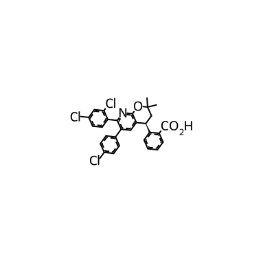 CC1(C)C[C@@H](c2ccccc2C(=O)O)c2cc(-c3ccc(Cl)cc3)c(-c3ccc(Cl)cc3Cl)nc2O1